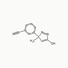 CS1(c2cccc(C#N)c2)C=C(O)N=N1